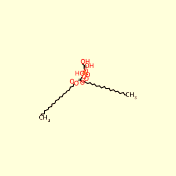 CCCCCCCCCCCCCCCCCCCC(=O)OC[C@H](COP(=O)(O)OC[C@@H](O)CO)OC(=O)CCCCCCCCCCCCCCCCCC